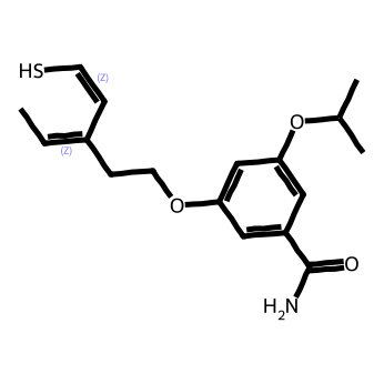 C/C=C(\C=C/S)CCOc1cc(OC(C)C)cc(C(N)=O)c1